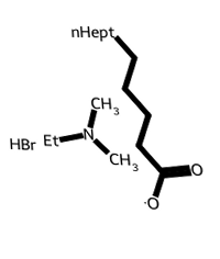 Br.CCCCCCCCCCCC([O])=O.CCN(C)C